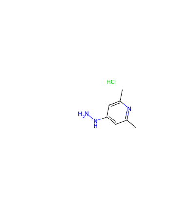 Cc1cc(NN)cc(C)n1.Cl